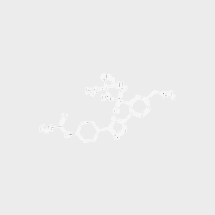 CC(C)(C)NS(=O)(=O)c1cc(CN)ccc1-c1cnc([C@H]2CC[C@H](OC(N)=O)CC2)s1